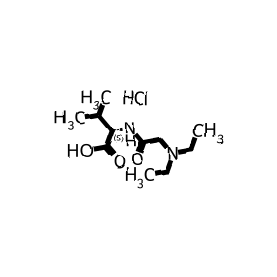 CCN(CC)CC(=O)N[C@H](C(=O)O)C(C)C.Cl